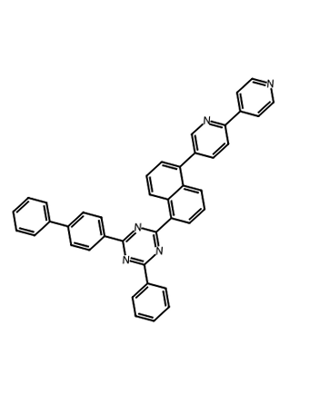 c1ccc(-c2ccc(-c3nc(-c4ccccc4)nc(-c4cccc5c(-c6ccc(-c7ccncc7)nc6)cccc45)n3)cc2)cc1